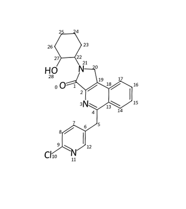 O=C1c2nc(Cc3ccc(Cl)nc3)c3ccccc3c2CN1C1CCCCC1O